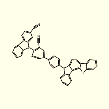 N#Cc1ccc2c3ccccc3n(-c3ccc(-c4ccc(-n5c6ccccc6c6c7oc8ccccc8c7ccc65)cc4)cc3C#N)c2c1